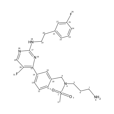 CS(=O)(=O)N(CCCN)Cc1cccc(-c2nc(NCCc3cccc(F)c3)ncc2F)c1